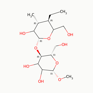 CC[C@H]1C(CO)O[C@H](O[C@@H]2C(O)C(O)[C@@H](OC)O[C@H]2CO)C(O)[C@@H]1C